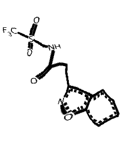 O=C(Cc1noc2ccccc12)NS(=O)(=O)C(F)(F)F